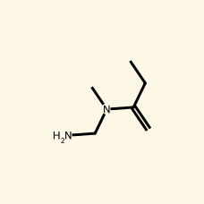 C=C(CC)N(C)CN